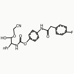 CCCC(NC(=O)Oc1ccc(NC(=O)Cc2ccc(F)cc2)cc1)C(O)OCC#N